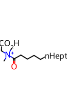 CCCCCCCCCCCC(=O)[N+](C)(C)CC(=O)O